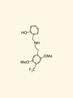 COc1cc(C(F)(F)F)c(OC)cc1CCNCc1ccccc1O